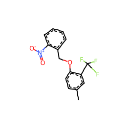 Cc1ccc(OCc2ccccc2[N+](=O)[O-])c(C(F)(F)F)c1